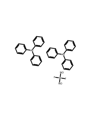 O=[N][W]([F])([F])[N]=O.c1ccc([As](c2ccccc2)c2ccccc2)cc1.c1ccc([As](c2ccccc2)c2ccccc2)cc1